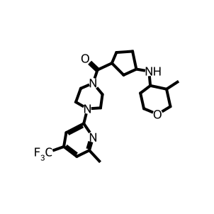 Cc1cc(C(F)(F)F)cc(N2CCN(C(=O)C3CCC(NC4CCOCC4C)C3)CC2)n1